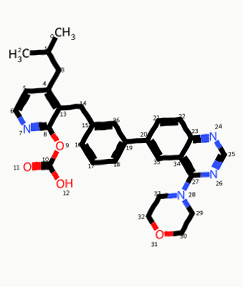 CC(C)Cc1ccnc(OC(=O)O)c1Cc1cccc(-c2ccc3ncnc(N4CCOCC4)c3c2)c1